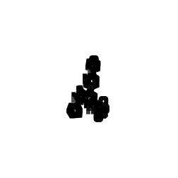 Cc1nn(-c2ccccc2)c2nc(C(=O)NS(C)(=O)=O)cc(-c3ccc(N4CCOCC4)nc3)c12